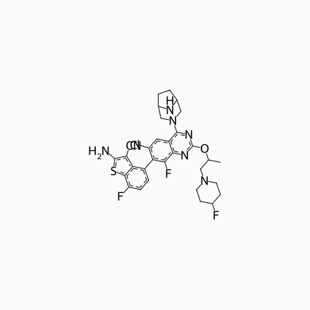 CC(CN1CCC(F)CC1)Oc1nc(N2CC3CCC(C2)N3)c2cc(Cl)c(-c3ccc(F)c4sc(N)c(C#N)c34)c(F)c2n1